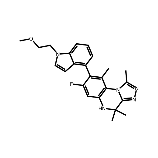 COCCn1ccc2c(-c3c(F)cc4c(c3C)-n3c(C)nnc3C(C)(C)N4)cccc21